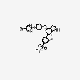 CS(=O)(=O)c1ccc(-c2nc3c(c(OC4CCN(c5ncc(Br)cn5)CC4)n2)CCN3)c(F)c1